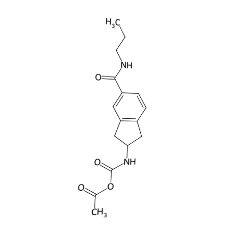 CCCNC(=O)c1ccc2c(c1)CC(NC(=O)OC(C)=O)C2